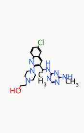 CNc1ncnc(NC(C)c2cc3cc(Cl)ccc3nc2N2CCN(CCO)CC2)n1